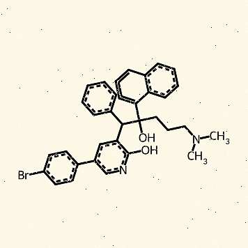 CN(C)CCCC(O)(C1=C=C=Cc2ccccc21)C(c1ccccc1)c1cc(-c2ccc(Br)cc2)cnc1O